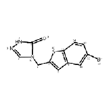 O=c1[nH]ncn1Cc1cc2cc(Br)ccc2s1